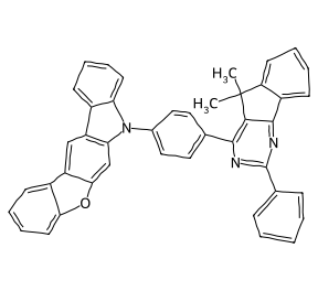 CC1(C)c2ccccc2-c2nc(-c3ccccc3)nc(-c3ccc(-n4c5ccccc5c5cc6c(cc54)oc4ccccc46)cc3)c21